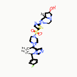 CC(c1cncn1[C@H](C)c1ccc(F)cc1)N1CCN(S(=O)(=O)c2cnc(N3CCN4C[C@H](O)C[C@H]4C3)s2)CC1